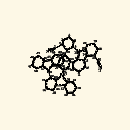 N#Cc1cccc(-n2c3ccccc3c3c(C#N)cccc32)c1-c1ccc(-n2c3ccccc3c3cccc(-n4c5ccccc5c5ccccc54)c32)cc1